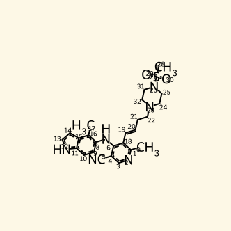 Cc1ncc(C#N)c(Nc2ccc3[nH]ccc3c2C)c1C=CCCN1CCN(S(C)(=O)=O)CC1